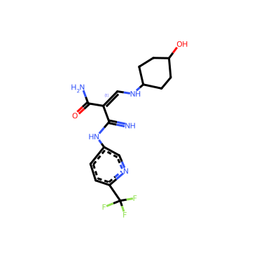 N=C(Nc1ccc(C(F)(F)F)nc1)/C(=C\NC1CCC(O)CC1)C(N)=O